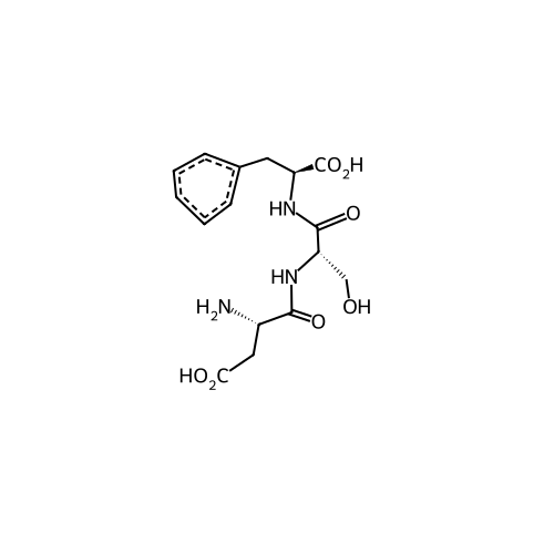 N[C@@H](CC(=O)O)C(=O)N[C@@H](CO)C(=O)N[C@@H](Cc1ccccc1)C(=O)O